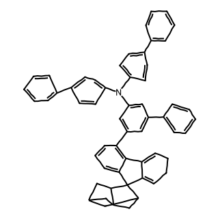 C1=C2C(=CCC1)C1(c3cccc(-c4cc(-c5ccccc5)cc(N(c5ccc(-c6ccccc6)cc5)c5ccc(-c6ccccc6)cc5)c4)c32)C2CC3CC(C2)C1C3